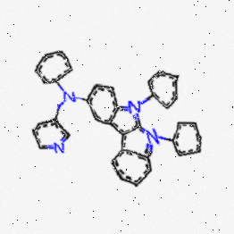 c1ccc(N(c2cccnc2)c2ccc3c(c2)c2c4ccccc4n(-c4ccccc4)c2n3-c2ccccc2)cc1